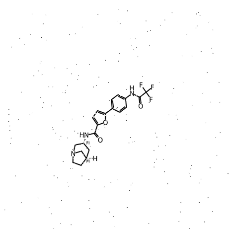 O=C(N[C@@H]1C[C@H]2CCN(C2)C1)c1ccc(-c2ccc(NC(=O)C(F)(F)F)cc2)o1